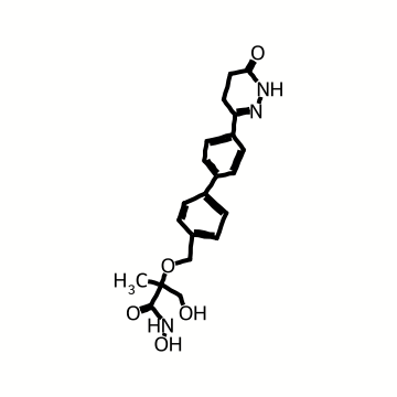 CC(CO)(OCc1ccc(-c2ccc(C3=NNC(=O)CC3)cc2)cc1)C(=O)NO